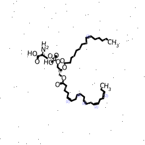 CC/C=C\C/C=C\C/C=C\C/C=C\C/C=C\CCCC(=O)OC[C@H](COP(=O)(O)OC[C@H](N)C(=O)O)OC(=O)CCCCCCC/C=C\CCCCC